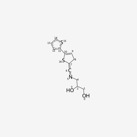 OCC(O)CN=C=C1CC=C(c2cccs2)S1